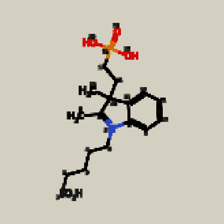 CC1=[N+](CCCCS(=O)(=O)O)c2ccccc2C1(C)CCP(=O)(O)O